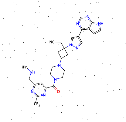 CC(C)NCc1cc(C(=O)N2CCN(C3CC(CC#N)(n4cc(-c5ncnc6[nH]ccc56)cn4)C3)CC2)nc(C(F)(F)F)n1